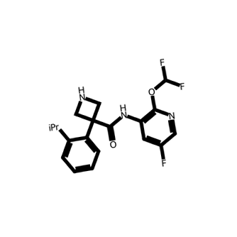 CC(C)c1ccccc1C1(C(=O)Nc2cc(F)cnc2OC(F)F)CNC1